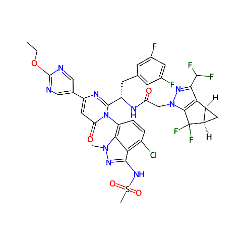 CCOc1ncc(-c2cc(=O)n(-c3ccc(Cl)c4c(NS(C)(=O)=O)nn(C)c34)c([C@H](Cc3cc(F)cc(F)c3)NC(=O)Cn3nc(C(F)F)c4c3C(F)(F)[C@@H]3C[C@H]43)n2)cn1